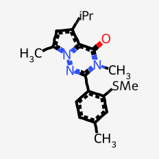 CSc1cc(C)ccc1-c1nn2c(C)cc(C(C)C)c2c(=O)n1C